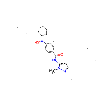 Cn1nccc1NC(=O)c1ccc(N(O)C2CCCCC2)cc1